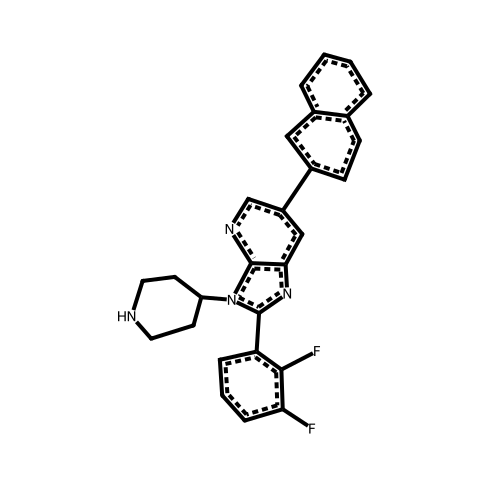 Fc1cccc(-c2nc3cc(-c4ccc5ccccc5c4)cnc3n2C2CCNCC2)c1F